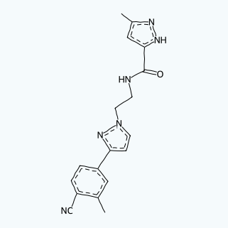 Cc1cc(C(=O)NCCn2ccc(-c3ccc(C#N)c(C)c3)n2)[nH]n1